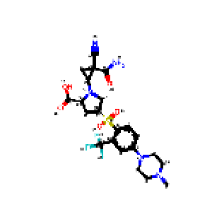 CN1CCN(c2ccc(S(=O)(=O)[C@@H]3C[C@@H](C(=O)O)N(C4CC4(C#N)C(N)=O)C3)c(C(F)(F)F)c2)CC1